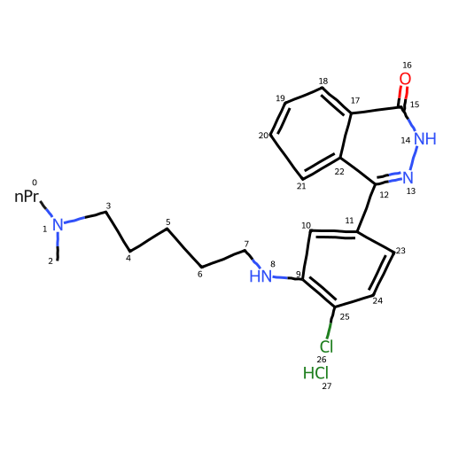 CCCN(C)CCCCCNc1cc(-c2n[nH]c(=O)c3ccccc23)ccc1Cl.Cl